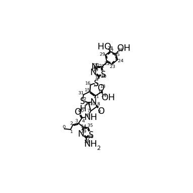 CC/C=C(/C(=O)NC1C(=O)N2C(C(=O)O)=C(CSc3nnc(-c4ccc(O)c(O)c4)s3)CS[C@@H]12)c1csc(N)n1